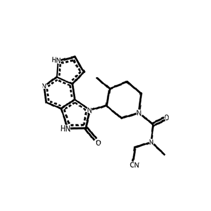 CC1CCN(C(=O)N(C)CC#N)CC1n1c(=O)[nH]c2cnc3[nH]ccc3c21